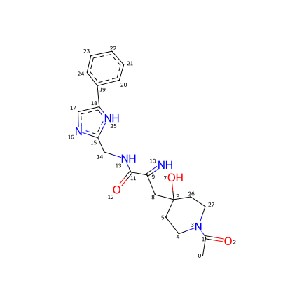 CC(=O)N1CCC(O)(CC(=N)C(=O)NCc2ncc(-c3ccccc3)[nH]2)CC1